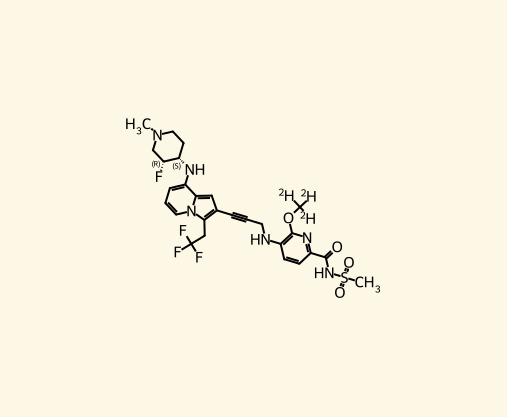 [2H]C([2H])([2H])Oc1nc(C(=O)NS(C)(=O)=O)ccc1NCC#Cc1cc2c(N[C@H]3CCN(C)C[C@H]3F)cccn2c1CC(F)(F)F